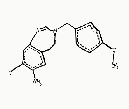 COc1ccc(CN2C=Nc3cc(I)c(N)cc3C2)cc1